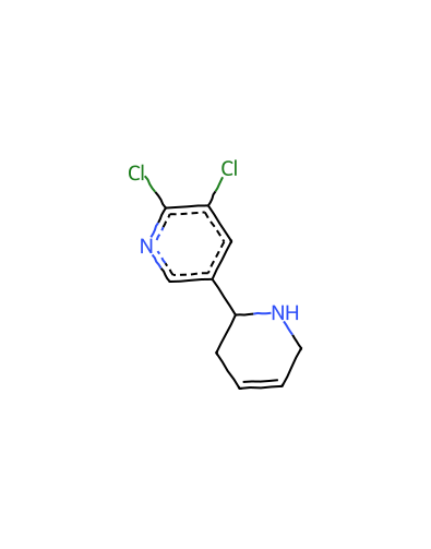 Clc1cc(C2CC=CCN2)cnc1Cl